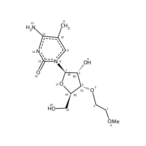 COCCO[C@H]1[C@@H](O)[C@H](n2cc(C)c(N)nc2=O)O[C@@H]1CO